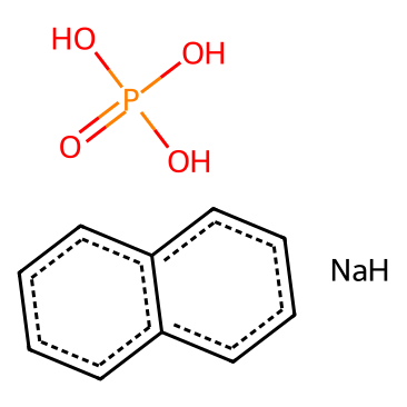 O=P(O)(O)O.[NaH].c1ccc2ccccc2c1